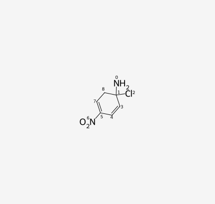 NC1(Cl)C=CC([N+](=O)[O-])=CC1